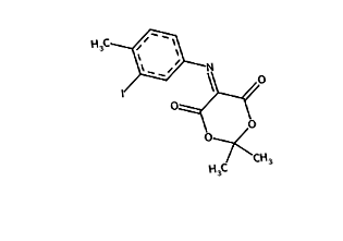 Cc1ccc(N=C2C(=O)OC(C)(C)OC2=O)cc1I